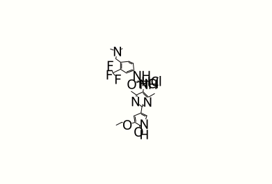 CCOc1cc(-c2nc(C)c(NC(=O)Nc3ccc(CN(C)C)c(C(F)(F)F)c3)c(C)n2)c[nH]c1=O.Cl.Cl